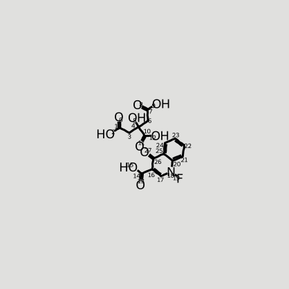 O=C(O)CC(O)(CC(=O)O)C(=O)O.O=C(O)c1cn(F)c2ccccc2c1=O